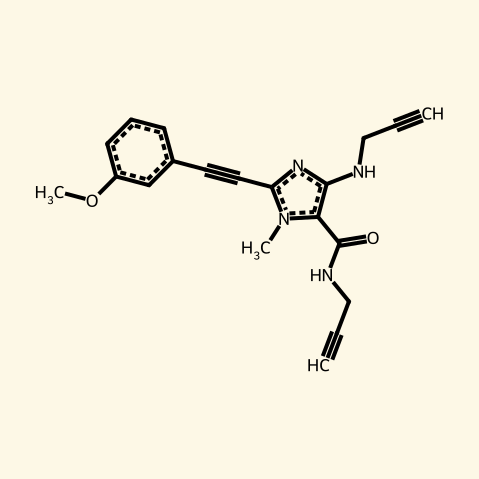 C#CCNC(=O)c1c(NCC#C)nc(C#Cc2cccc(OC)c2)n1C